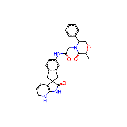 CC1OCC(c2ccccc2)N(CC(=O)Nc2ccc3c(c2)CC2(C3)C(=O)NC3=C2C=CCN3)C1=O